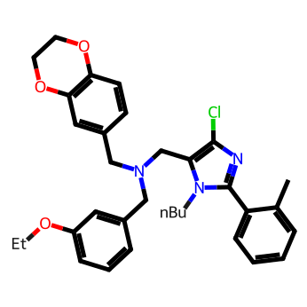 CCCCn1c(-c2ccccc2C)nc(Cl)c1CN(Cc1cccc(OCC)c1)Cc1ccc2c(c1)OCCO2